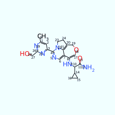 Cc1cc(C2=NC=C3C(NC(C(N)=O)C4CC4)=COCC4=C3N2CC4)nc(CO)n1